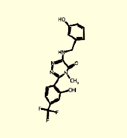 Cn1c(-c2ccc(C(F)(F)F)cc2O)nnc(NCc2cccc(O)c2)c1=O